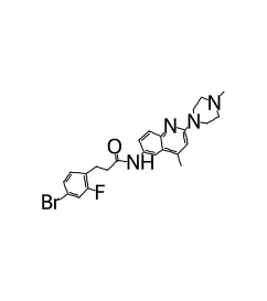 Cc1cc(N2CCN(C)CC2)nc2ccc(NC(=O)CCc3ccc(Br)cc3F)cc12